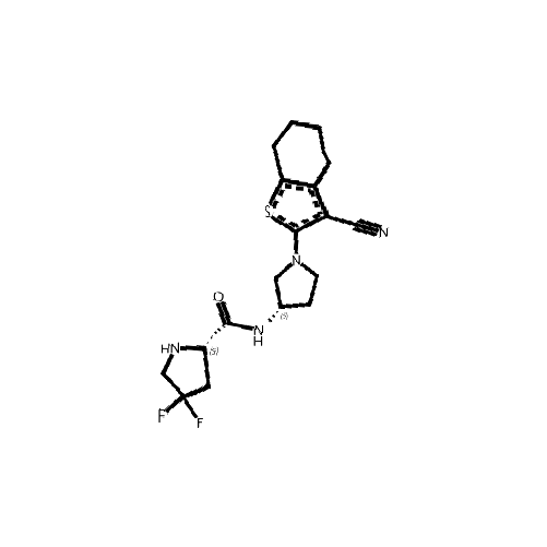 N#Cc1c(N2CC[C@H](NC(=O)[C@@H]3CC(F)(F)CN3)C2)sc2c1CCCC2